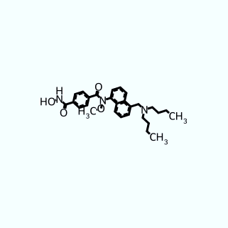 CCCCN(CCCC)Cc1cccc2c(N(OC)C(=O)c3ccc(C(=O)NO)cc3)cccc12